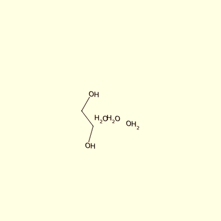 O.O.O.OCCO